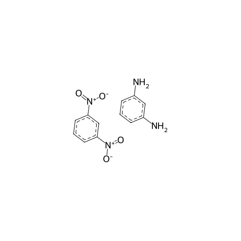 Nc1cccc(N)c1.O=[N+]([O-])c1cccc([N+](=O)[O-])c1